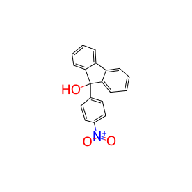 O=[N+]([O-])c1ccc(C2(O)c3ccccc3-c3ccccc32)cc1